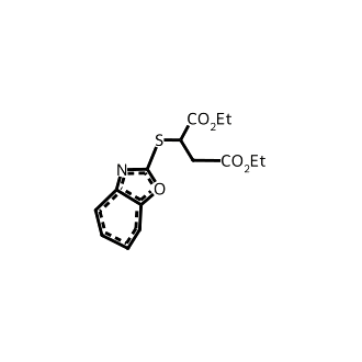 CCOC(=O)CC(Sc1nc2ccccc2o1)C(=O)OCC